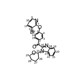 O=C(c1ccc(Oc2ncccc2Br)cc1)c1nc2ccccc2n1C1CCCCO1